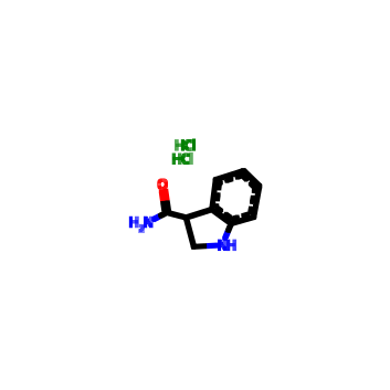 Cl.Cl.NC(=O)C1CNc2ccccc21